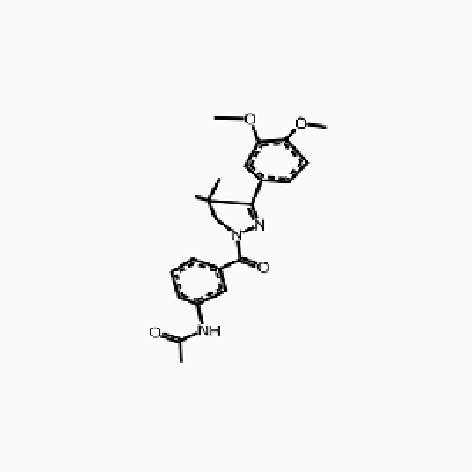 COc1ccc(C2=NN(C(=O)c3cccc(NC(C)=O)c3)CC2(C)C)cc1OC